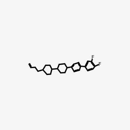 C=CCCC1CCC(C2CCC(c3ccc(-c4ccc(F)c(F)c4)cc3)CC2)CC1